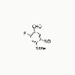 CNc1cc(F)c(C=O)cc1N=O